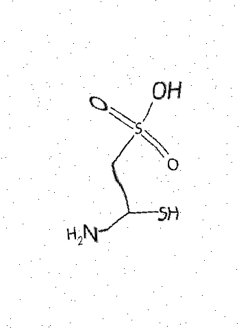 NC(S)CS(=O)(=O)O